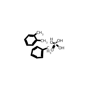 Cc1ccccc1.Cc1ccccc1C.O=P(O)(O)O